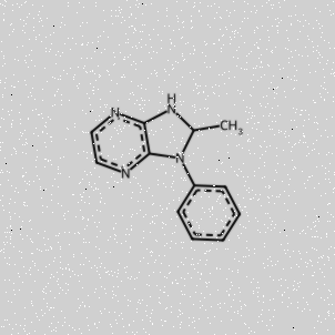 CC1Nc2nccnc2N1c1ccccc1